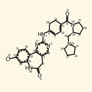 O=C1Cc2cnc(NC3=CC=C(C(=O)N4CCC[C@H]4CN4CCCC4)CC3)nc2-c2ccc(Cl)cc2N1